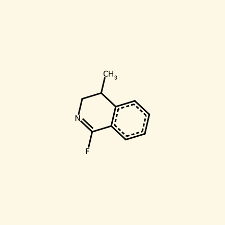 CC1CN=C(F)c2ccccc21